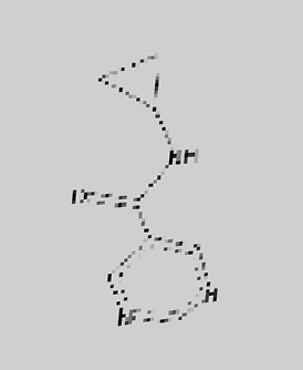 O=C(NC1CC1)c1cncnc1